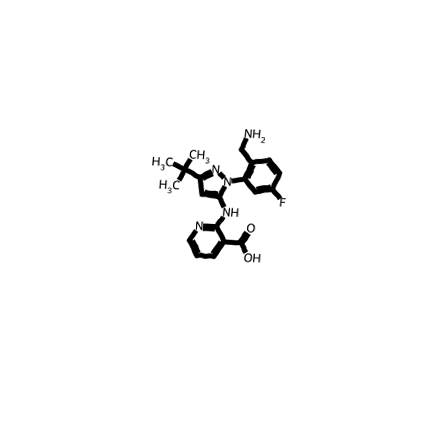 CC(C)(C)c1cc(Nc2ncccc2C(=O)O)n(-c2cc(F)ccc2CN)n1